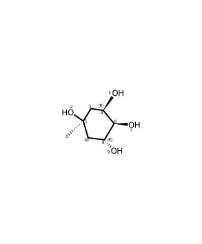 C[C@]1(O)C[C@@H](O)[C@@H](O)[C@H](O)C1